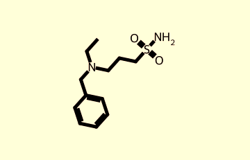 CCN(CCCS(N)(=O)=O)Cc1ccccc1